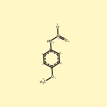 COc1ccc(N[N+](=O)[O-])cc1